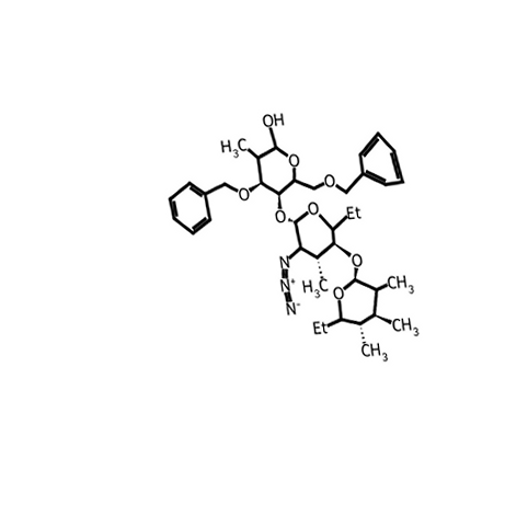 CCC1O[C@@H](O[C@@H]2C(CC)O[C@@H](O[C@@H]3C(COCc4ccccc4)OC(O)C(C)[C@@H]3OCc3ccccc3)C(N=[N+]=[N-])[C@H]2C)C(C)[C@@H](C)[C@@H]1C